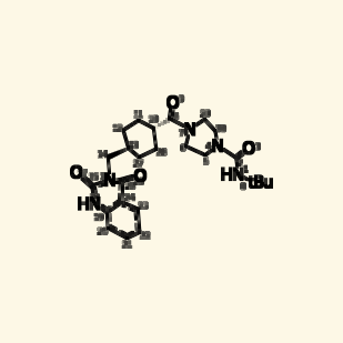 CC(C)(C)NC(=O)N1CCN(C(=O)[C@H]2CC[C@H](Cn3c(=O)[nH]c4ccccc4c3=O)CC2)CC1